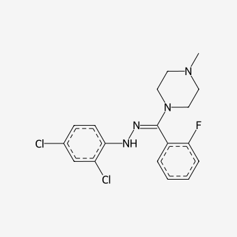 CN1CCN(/C(=N/Nc2ccc(Cl)cc2Cl)c2ccccc2F)CC1